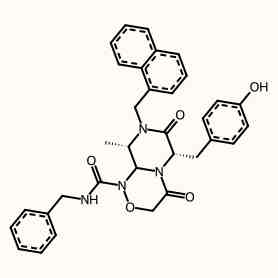 C[C@H]1C2N(C(=O)NCc3ccccc3)OCC(=O)N2[C@@H](Cc2ccc(O)cc2)C(=O)N1Cc1cccc2ccccc12